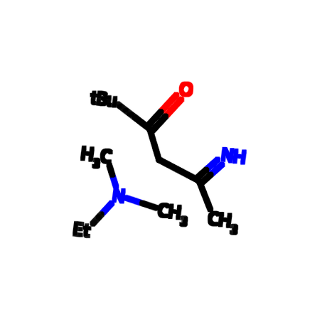 CC(=N)CC(=O)C(C)(C)C.CCN(C)C